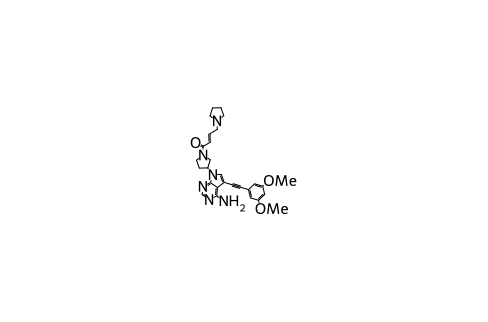 COc1cc(C#Cc2cn([C@H]3CCN(C(=O)C=CCN4CCCC4)C3)c3ncnc(N)c23)cc(OC)c1